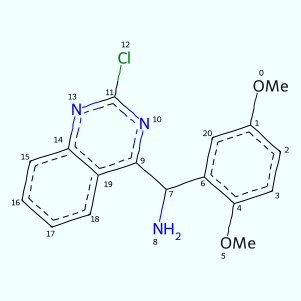 COc1ccc(OC)c(C(N)c2nc(Cl)nc3ccccc23)c1